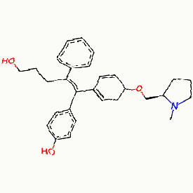 CN1CCC[C@@H]1COC1C=CC(/C(=C(/CCCO)c2ccccc2)c2ccc(O)cc2)=CC1